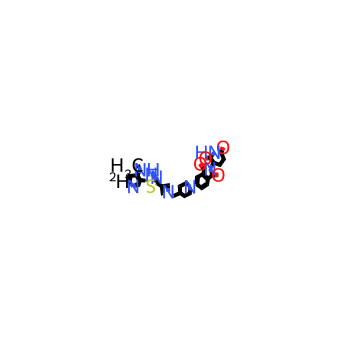 [2H]c1cc(NC)c(-c2nnc(C3CN(CC4CCN(c5ccc6c(c5)C(=O)N(C5CCC(=O)NC5=O)C6=O)CC4)C3)s2)cn1